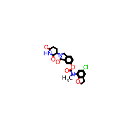 CN(C(=O)Oc1ccc2c(c1)C(=O)N(C1CCC(=O)NC1=O)C2)c1cc(Cl)cc2c1OCC2